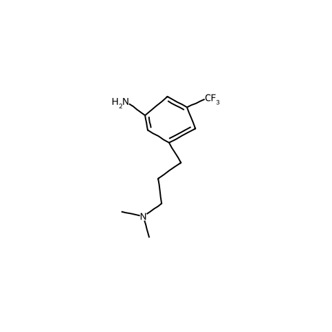 CN(C)CCCc1cc(N)cc(C(F)(F)F)c1